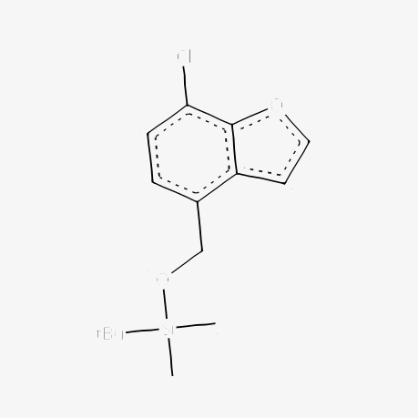 CC(C)(C)[Si](C)(C)OCc1ccc(Cl)c2occc12